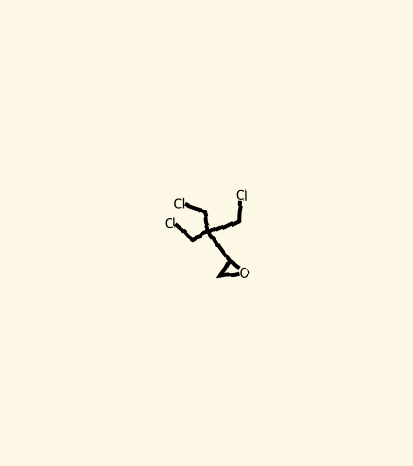 ClCC(CCl)(CCl)C1CO1